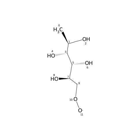 C[C@@H](O)[C@@H](O)[C@H](O)[C@H](O)CO[O]